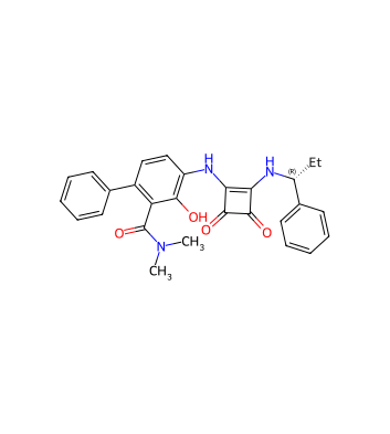 CC[C@@H](Nc1c(Nc2ccc(-c3ccccc3)c(C(=O)N(C)C)c2O)c(=O)c1=O)c1ccccc1